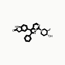 O=C1Cc2cc(-c3c(-c4ccccc4)nn4c(N5CC[C@@H](O)[C@H](F)C5)nccc34)ccc2N1